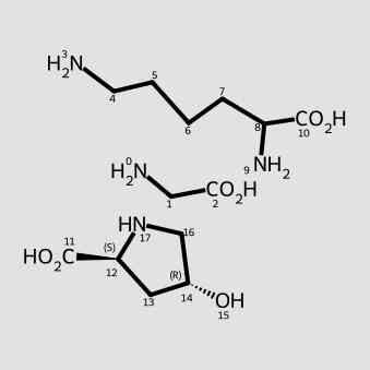 NCC(=O)O.NCCCCC(N)C(=O)O.O=C(O)[C@@H]1C[C@@H](O)CN1